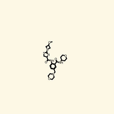 COC1CN(C2=NC(C(=O)Nc3ccc(CN4CCOCC4)cc3C(=O)NC3CCOCC3)CS2)C1